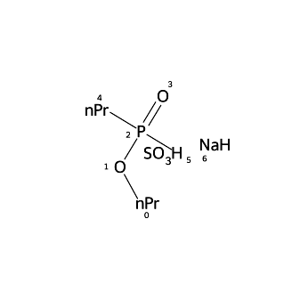 CCCOP(=O)(CCC)S(=O)(=O)O.[NaH]